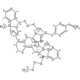 C=Cc1ccc(CSc2nnc(SC3=C(/C=C/C4C(CCCC)c5ccccc5C4(C)C)CCC/C3=C\C=C3\N(CCCC)c4ccccc4C3(C)C)s2)cc1